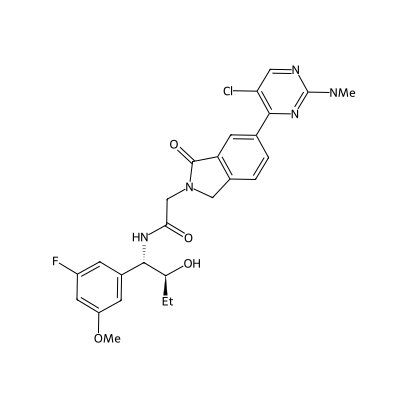 CC[C@H](O)[C@@H](NC(=O)CN1Cc2ccc(-c3nc(NC)ncc3Cl)cc2C1=O)c1cc(F)cc(OC)c1